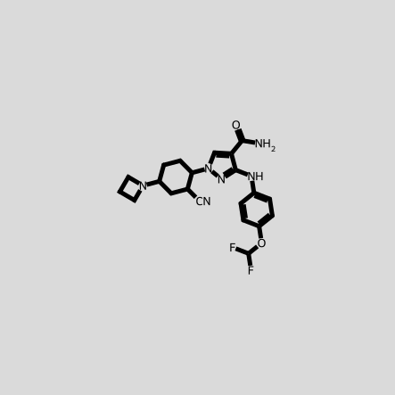 N#CC1CC(N2CCC2)CCC1n1cc(C(N)=O)c(Nc2ccc(OC(F)F)cc2)n1